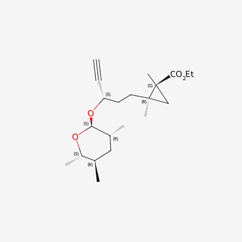 C#C[C@H](CC[C@]1(C)C[C@]1(C)C(=O)OCC)O[C@@H]1O[C@@H](C)[C@H](C)C[C@H]1C